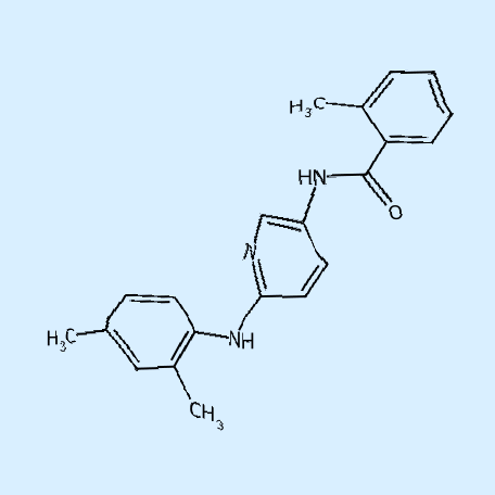 Cc1ccc(Nc2ccc(NC(=O)c3ccccc3C)cn2)c(C)c1